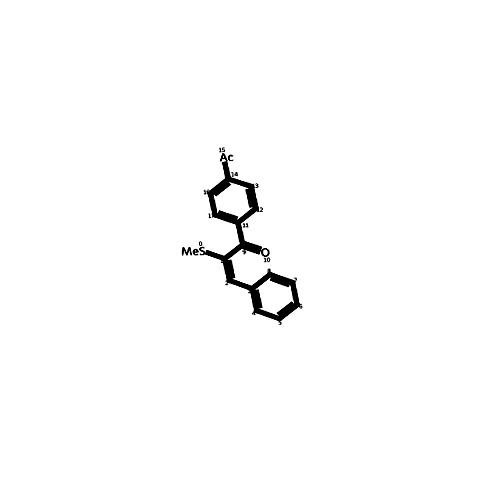 CSC(=Cc1ccccc1)C(=O)c1ccc(C(C)=O)cc1